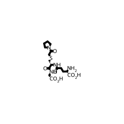 N[C@@H](CCC(=O)N[C@@H](CSCC(=O)N1CCCC1)C(=O)NCC(=O)O)C(=O)O